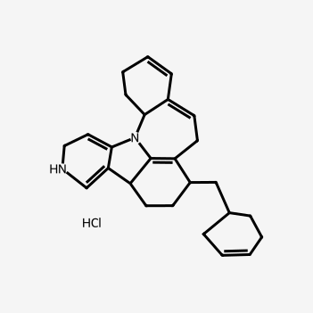 C1=CCC(CC2CCC3C4=CNCC=C4N4C3=C2CC=C2C=CCCC24)CC1.Cl